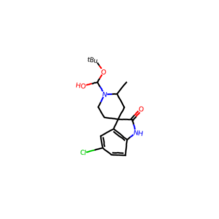 CC1CC2(CCN1C(O)OC(C)(C)C)C(=O)Nc1ccc(Cl)cc12